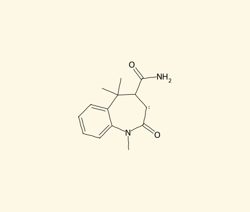 CN1C(=O)[C]C(C(N)=O)C(C)(C)c2ccccc21